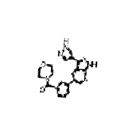 O=C(c1cccc(-c2cnc3[nH]nc(-c4cn[nH]c4)c3c2)c1)N1CCOCC1